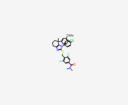 COc1cc(C2(C)CCCc3nc(SCc4c(F)cc(C(=O)N(C)C)cc4F)n(-c4ccc(F)cc4)c32)ccc1Cl